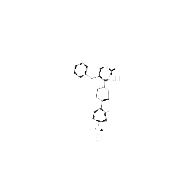 CCS(=O)(=O)c1ccc(C2=CCC(c3[nH]c(=O)[nH]c(=O)c3Cc3ccccc3)CC2)c(Cl)c1